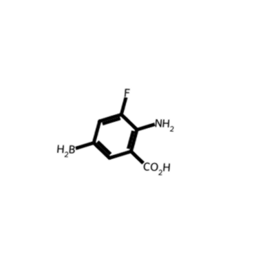 Bc1cc(F)c(N)c(C(=O)O)c1